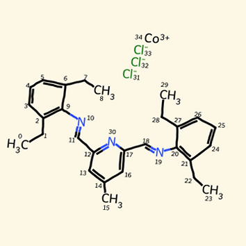 CCc1cccc(CC)c1N=Cc1cc(C)cc(C=Nc2c(CC)cccc2CC)n1.[Cl-].[Cl-].[Cl-].[Co+3]